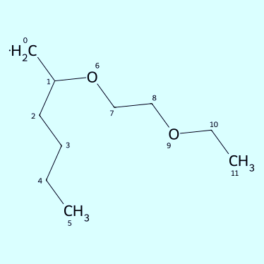 [CH2]C(CCCC)OCCOCC